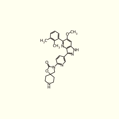 COc1cc2[nH]nc(-c3ccc(N4CC5(CCNCC5)OC4=O)nc3)c2nc1-c1cccc(C)c1C